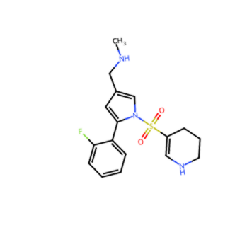 CNCc1cc(-c2ccccc2F)n(S(=O)(=O)C2=CNCCC2)c1